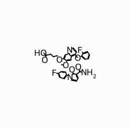 COc1cc2c(Oc3ccccc3F)ccnc2cc1OCCCC(=O)O.NC(=O)c1cccn(-c2ccc(F)cc2)c1=O